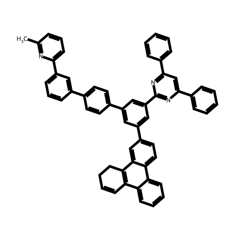 Cc1cccc(-c2cccc(-c3ccc(-c4cc(-c5ccc6c(c5)c5c(c7ccccc76)C=CCC5)cc(-c5nc(-c6ccccc6)cc(-c6ccccc6)n5)c4)cc3)c2)n1